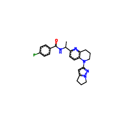 CC(NC(=O)c1ccc(F)cc1)c1ccc2c(n1)CCCN2c1cc2n(n1)CCC2